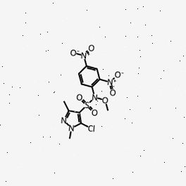 CON(c1ccc([N+](=O)[O-])cc1[N+](=O)[O-])S(=O)(=O)c1c(C)nn(C)c1Cl